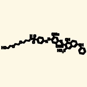 COc1cc(N=Nc2c(S(=O)(=O)O)cc3cc(Nc4ccccc4)ccc3c2O)c(OC)cc1N=Nc1ccc(S(=O)(=O)NCCCOCCOCCO)cc1